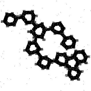 c1ccc(-c2cccc(-c3cc(-c4cccc(-c5ccccc5)c4)nc(-c4cccc(-c5cccc(-c6ccc7c8ccccc8c8ccccc8c7c6)c5)c4)n3)c2)cc1